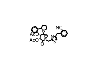 CC(=O)O[C@@H](C(=O)NCc1nc(Cc2ccccc2C#N)cs1)[C@@H](OC(C)=O)C(=O)N1CCCC1c1ccccc1